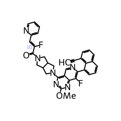 C#Cc1cccc2cccc(-c3ncc4c(N5CC6CN(C(=O)/C(F)=C/c7ccccn7)CC6C5)nc(OC)nc4c3F)c12